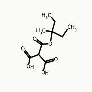 CCC(C)(CC)OC(=O)C(C(=O)O)C(=O)O